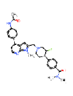 CC(=O)Nc1ccc(-c2ccnc3c2cc(CN2CC[C@H](c4ccc(C(=O)N(C)C)cc4)[C@H](F)C2)n3C)cc1